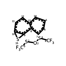 FC(F)(F)SOSC(F)(F)F.c1ccc2c3c(ccc2c1)S3